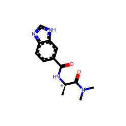 C[C@@H](NC(=O)c1ccc2nc[nH]c2c1)C(=O)N(C)C